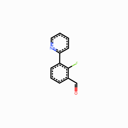 O=Cc1cccc(-c2ccccn2)c1F